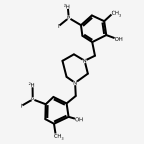 [2H]P(I)c1cc(C)c(O)c(CN2CCCN(Cc3cc(P([2H])I)cc(C)c3O)C2)c1